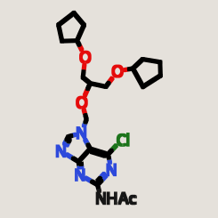 CC(=O)Nc1nc(Cl)c2c(ncn2COC(COC2CCCC2)COC2CCCC2)n1